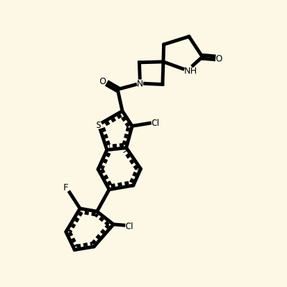 O=C1CCC2(CN(C(=O)c3sc4cc(-c5c(F)cccc5Cl)ccc4c3Cl)C2)N1